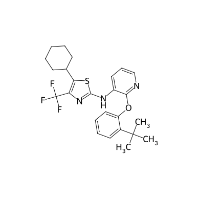 CC(C)(C)c1ccccc1Oc1ncccc1Nc1nc(C(F)(F)F)c(C2CCCCC2)s1